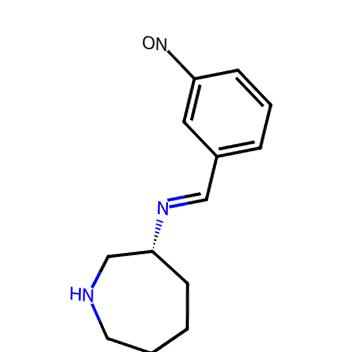 O=Nc1cccc(/C=N/[C@@H]2CCCCNC2)c1